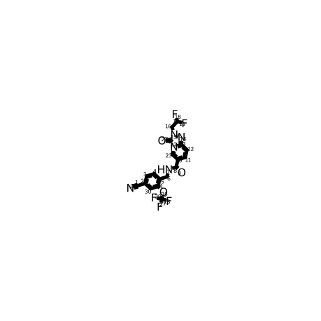 N#Cc1ccc(CNC(=O)c2ccc3nn(CC(F)F)c(=O)n3c2)c(OC(F)(F)F)c1